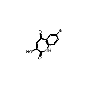 O=c1[nH]c2ccc(Br)cc2c(=O)cc1O